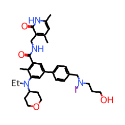 CCN(c1cc(-c2ccc(CN(I)CCCO)cc2)cc(C(=O)NCc2c(C)cc(C)[nH]c2=O)c1C)C1CCOCC1